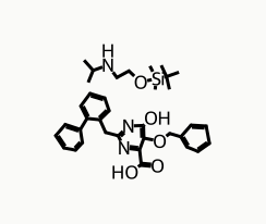 CC(C)NCCO[Si](C)(C)C(C)(C)C.O=C(O)c1nc(Cc2ccccc2-c2ccccc2)nc(O)c1OCc1ccccc1